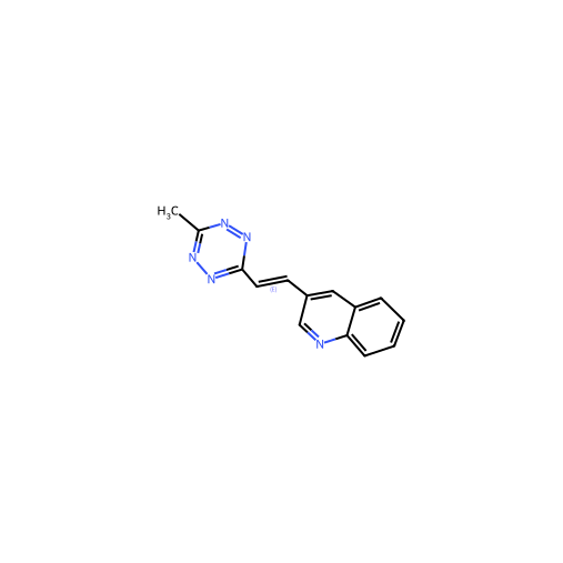 Cc1nnc(/C=C/c2cnc3ccccc3c2)nn1